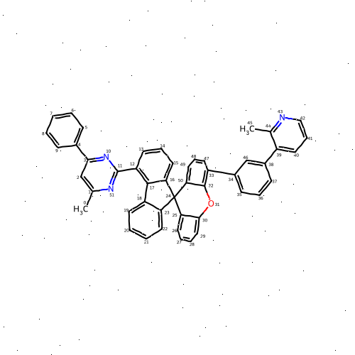 Cc1cc(-c2ccccc2)nc(-c2cccc3c2-c2ccccc2C32c3ccccc3Oc3c(-c4cccc(-c5cccnc5C)c4)cccc32)n1